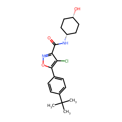 CC(C)(C)c1ccc(-c2onc(C(=O)N[C@H]3CC[C@@H](O)CC3)c2Cl)cc1